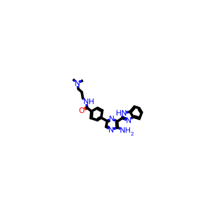 CN(C)CCCNC(=O)c1ccc(-c2cnc(N)c(-c3nc4ccccc4[nH]3)n2)cc1